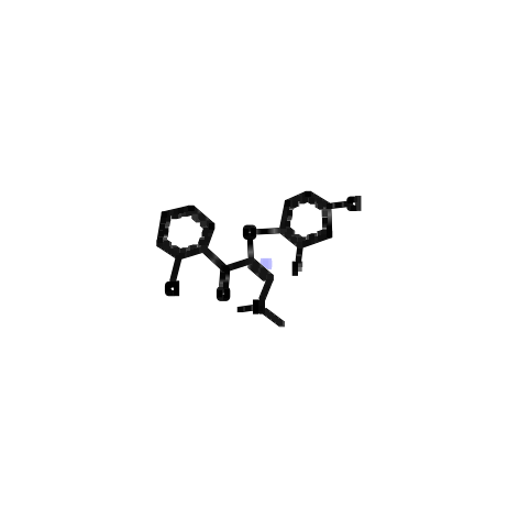 CN(C)/C=C(/Oc1ccc(Cl)cc1F)C(=O)c1ccccc1Cl